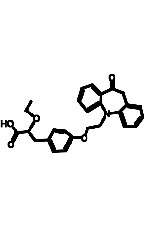 CCOC(Cc1ccc(OCCN2c3ccccc3CC(=O)c3ccccc32)cc1)C(=O)O